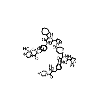 CCn1nccc1C(=O)N[C@H](C(=O)Nc1ccc(C[C@@H](N)C(=O)N2CCN(C)CC2)cc1)C1CCCCCC1.CCn1nccc1C(=O)N[C@H](C(=O)Nc1ccc(C[C@H](C(=O)N2CCN(C)CC2)N(C(=O)O)C(C)(C)C)cc1)C1CCCCCC1